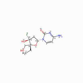 CC[C@]1(CO)O[C@@H](n2ccc(N)nc2=O)C[C@@]1(O)F